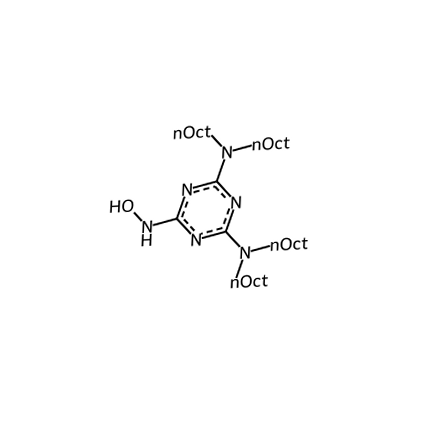 CCCCCCCCN(CCCCCCCC)c1nc(NO)nc(N(CCCCCCCC)CCCCCCCC)n1